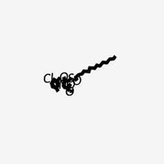 CCCCCCCCCCCCCC(=O)SCC(=O)N(CC(=O)OC)c1c(C)ccc(Cl)c1C